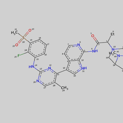 CCC(C(=O)Nc1nccc2c(-c3nc(Nc4cccc(S(C)(=O)=O)c4F)ncc3C)c[nH]c12)N1CC2CCC(C1)N2C